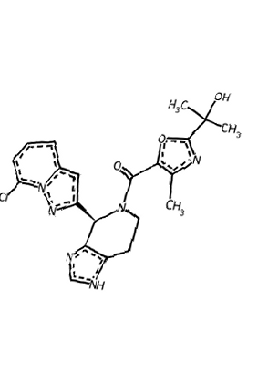 Cc1nc(C(C)(C)O)oc1C(=O)N1CCc2[nH]cnc2[C@H]1c1cc2cccc(Cl)n2n1